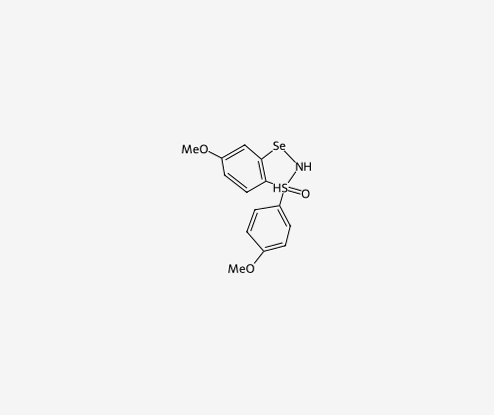 COc1ccc([SH]2(=O)N[Se]c3cc(OC)ccc32)cc1